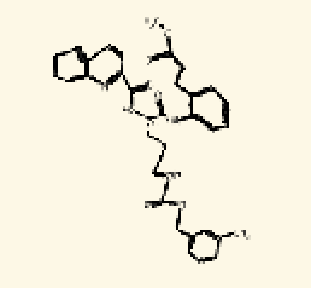 COC(=O)CCc1ccccc1NC(=O)[C@H](CCCNC(=O)OCc1cccc(C)c1)NC(=O)c1ccc2ccccc2n1